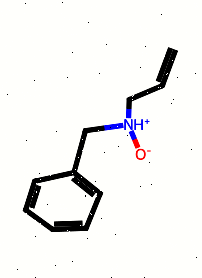 C=CC[NH+]([O-])Cc1ccccc1